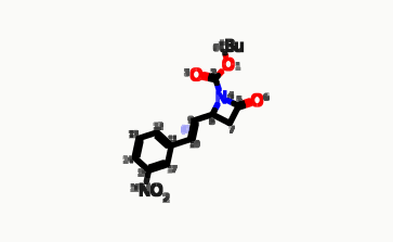 CC(C)(C)OC(=O)N1C(=O)CC1/C=C/c1cccc([N+](=O)[O-])c1